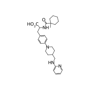 CC1(C(=O)NC(Cc2ccc(N3CCC(CNc4ccccn4)CC3)cc2)C(=O)O)CCCCC1